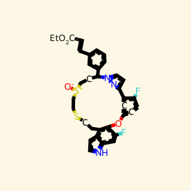 CCOC(=O)/C=C/c1cccc(C2CC[S+]([O-])CCSCCc3c(c(F)cc4[nH]ccc34)Oc3ccc(F)c(c3)-c3ccn2n3)c1